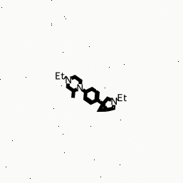 CCN1CCN(C2C=CC(C34CC3CN(CC)C4)=CC2)C(C)C1